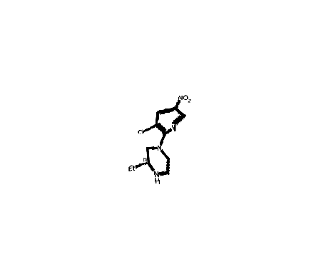 CC[C@H]1CN(c2ncc([N+](=O)[O-])cc2Cl)CCN1